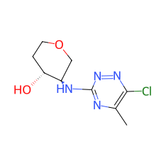 Cc1nc(N[C@@H]2COCC[C@H]2O)nnc1Cl